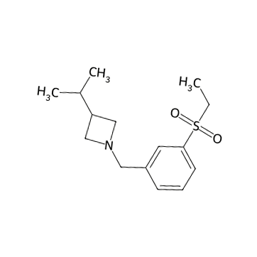 CCS(=O)(=O)c1cccc(CN2CC(C(C)C)C2)c1